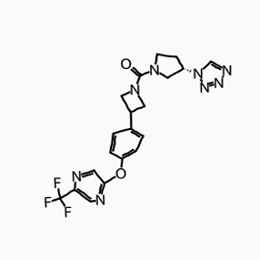 O=C(N1CC(c2ccc(Oc3cnc(C(F)(F)F)cn3)cc2)C1)N1CC[C@H](n2cnnn2)C1